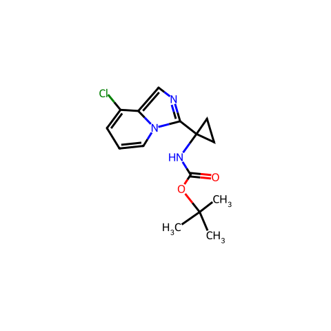 CC(C)(C)OC(=O)NC1(c2ncc3c(Cl)cccn23)CC1